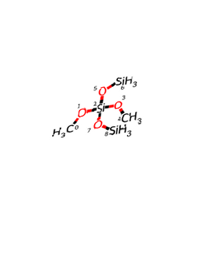 CO[Si](OC)(O[SiH3])O[SiH3]